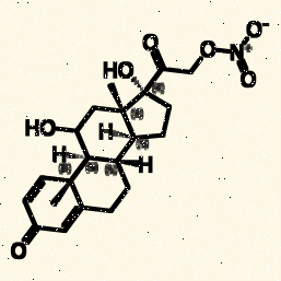 C[C@]12C=CC(=O)C=C1CC[C@@H]1[C@@H]2C(O)C[C@@]2(C)[C@H]1CC[C@]2(O)C(=O)CO[N+](=O)[O-]